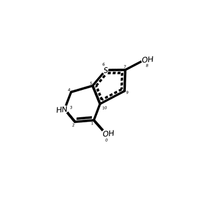 OC1=CNCc2sc(O)cc21